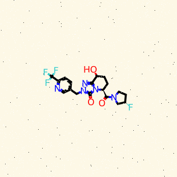 O=C([C@@H]1CCC(O)c2nn(Cc3ccc(C(F)(F)F)nc3)c(=O)n21)N1CC[C@H](F)C1